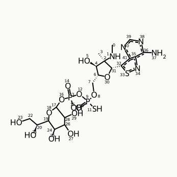 CN[C@]1(C)[C@H](O)[C@@H](COP(=O)(S)OP(=O)(O)OC2OC([C@@H](O)CO)C(O)C(O)C2O)O[C@H]1c1snc2c(N)ncnc12